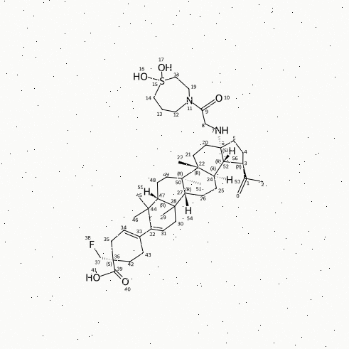 C=C(C)[C@@H]1CC[C@]2(NCC(=O)N3CCCS(O)(O)CC3)CC[C@]3(C)[C@H](CC[C@@H]4C5(C)CC=C(C6=CC[C@](CF)(C(=O)O)CC6)C(C)(C)[C@@H]5CC[C@]43C)[C@@H]12